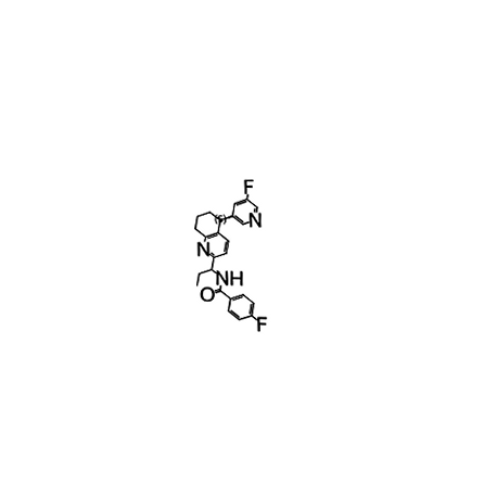 CCC(NC(=O)c1ccc(F)cc1)c1ccc2c(n1)CCC[C@H]2c1cncc(F)c1